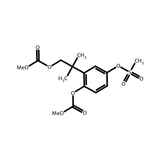 COC(=O)OCC(C)(C)c1cc(OS(C)(=O)=O)ccc1OC(=O)OC